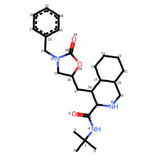 CC(C)(C)NC(=O)C1NCC2CCCCC2C1CC1CN(Cc2ccccc2)C(=O)O1